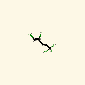 FC(F)(F)CCC(Cl)=CCl